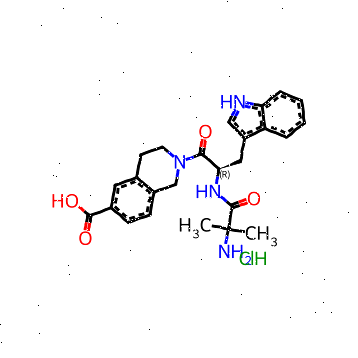 CC(C)(N)C(=O)N[C@H](Cc1c[nH]c2ccccc12)C(=O)N1CCc2cc(C(=O)O)ccc2C1.Cl